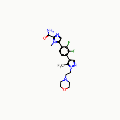 Cn1c(-c2ccc(-c3cnn(CCN4CCOCC4)c3C(F)(F)F)c(F)c2F)cnc1C(N)=O